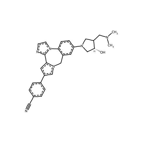 CN(C)CC1CN(c2ccc3c(c2)Cn2cc(-c4ccc(C#N)cc4)cc2-c2nccn2-3)C[C@H]1O